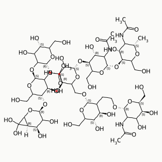 CC(=O)NC1C(O)[C@H](O)[C@H](CO)O[C@H]1OCCC1[C@@H](OCC2O[C@@H](O[C@@H]3C(CO)O[C@@H](O[C@@H]4C(CO)O[C@@H](C)C(NC(C)=O)[C@H]4O)C(NC(C)=O)[C@H]3O)C(O)[C@@H](O[C@H]3OC(CO)[C@@H](O)C(O)C3O[C@@H]3OC(CO)[C@@H](O[C@@H]4OC5[C@@H]([C@H](O)C4O)C5(O)O)[C@H](O)C3NC(C)=O)[C@@H]2O)OC(CO)[C@@H](O)[C@@H]1O